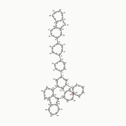 c1ccc(-c2nc(-c3ccc(-c4ccc(-c5ccc6c(c5)sc5ccccc56)cc4)cc3)nc(-c3cccc4c5ccccc5n(-c5ccccc5)c34)n2)cc1